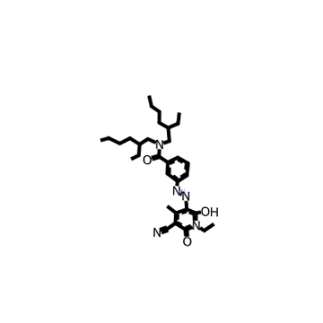 CCCCC(CC)CN(CC(CC)CCCC)C(=O)c1cccc(/N=N/c2c(C)c(C#N)c(=O)n(CC)c2O)c1